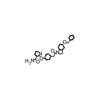 NC(=O)c1cccnc1Oc1ccc(CC(=O)N2CCc3cc(OCc4ccccc4)ccc32)cc1